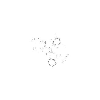 Cc1cc(C)nc(N(C(N)=NN)S(=O)(=O)c2ccccc2OC(F)F)n1